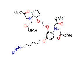 COC(=O)CN(CC(=O)OC)c1ccccc1OCCOc1cc(OCCCCCCN=[N+]=[N-])ccc1N(CC(=O)OC)CC(=O)OC